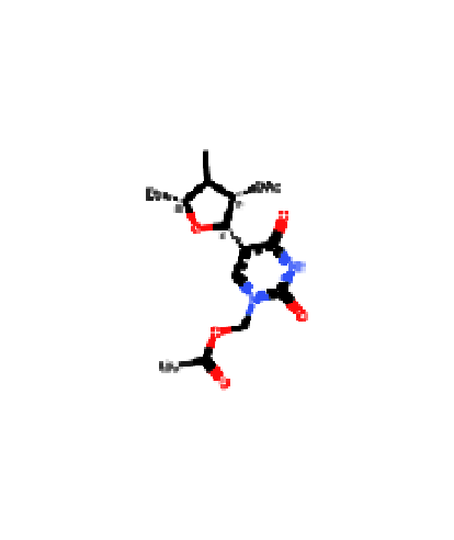 CC[C@H]1O[C@@H](c2cn(COC(=O)C(C)(C)C)c(=O)[nH]c2=O)[C@@H](OC(C)=O)C1C